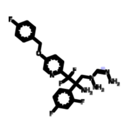 N/N=C\N(N)CC(N)(c1ccc(F)cc1F)C(F)(F)c1ccc(OCc2ccc(F)cc2)cn1